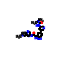 CN(C)Cc1cncc(NC(=O)c2n[nH]c3ccc(-c4cncc(NC(=O)N(C)C)c4)cc23)c1